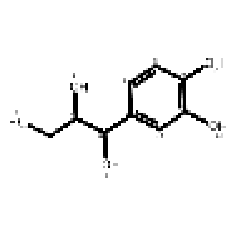 OCC(O)C(O)c1ccc(O)c(O)c1